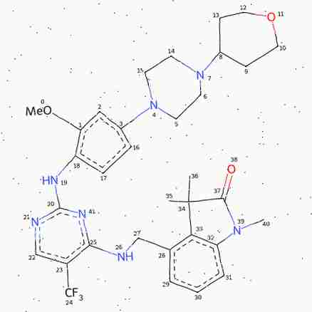 COc1cc(N2CCN(C3CCOCC3)CC2)ccc1Nc1ncc(C(F)(F)F)c(NCc2cccc3c2C(C)(C)C(=O)N3C)n1